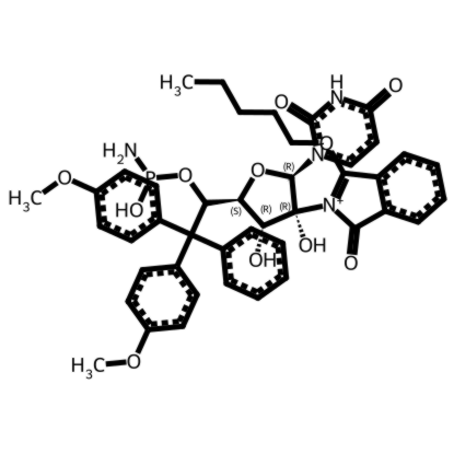 CCCCCOC1=[N+]([C@@]2(O)[C@H](O)[C@@H](C(OP(N)O)C(c3ccccc3)(c3ccc(OC)cc3)c3ccc(OC)cc3)O[C@H]2n2ccc(=O)[nH]c2=O)C(=O)c2ccccc21